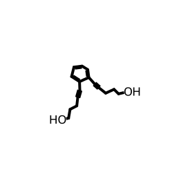 OCCCC#Cc1ccccc1C#CCCCO